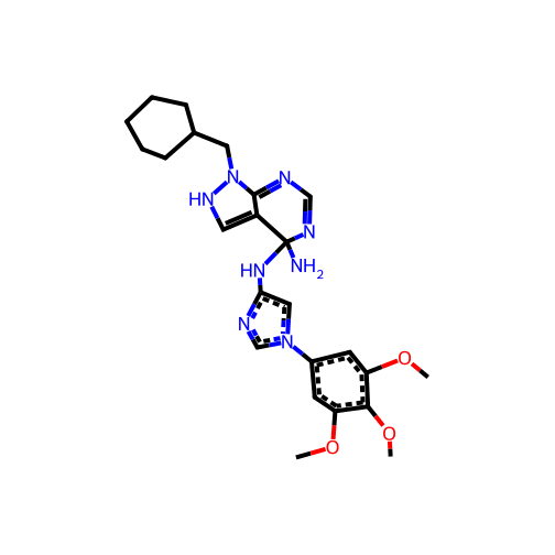 COc1cc(-n2cnc(NC3(N)N=CN=C4C3=CNN4CC3CCCCC3)c2)cc(OC)c1OC